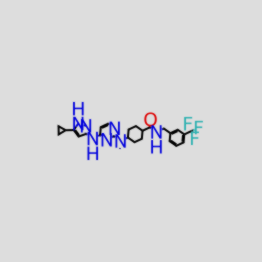 CN(c1nccc(Nc2cc(C3CC3)[nH]n2)n1)C1CCC(C(=O)NCc2cccc(C(F)(F)F)c2)CC1